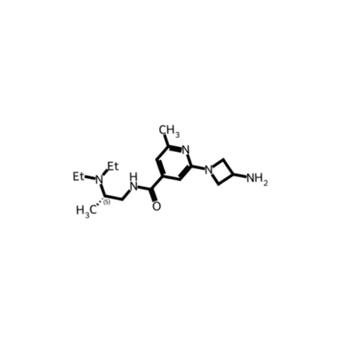 CCN(CC)[C@@H](C)CNC(=O)c1cc(C)nc(N2CC(N)C2)c1